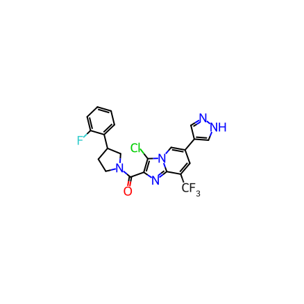 O=C(c1nc2c(C(F)(F)F)cc(-c3cn[nH]c3)cn2c1Cl)N1CCC(c2ccccc2F)C1